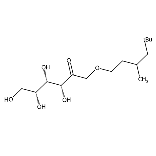 CC(CCOCC(=O)[C@H](O)[C@@H](O)[C@H](O)CO)CC(C)(C)C